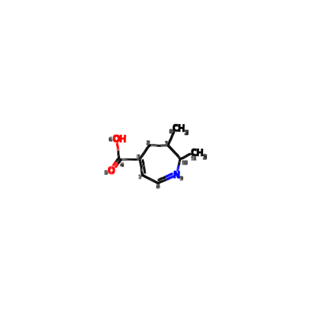 CC1CC(C(=O)O)=CC=NC1C